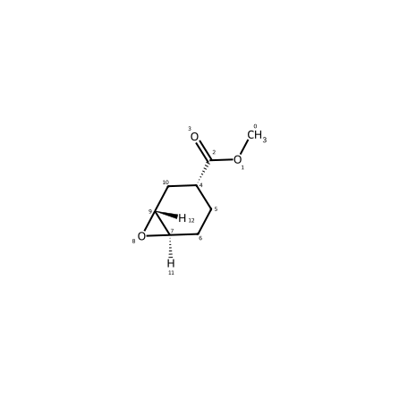 COC(=O)[C@@H]1CC[C@H]2O[C@@H]2C1